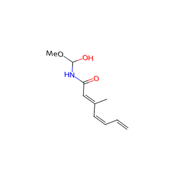 C=C/C=C\C(C)=C\C(=O)NC(O)OC